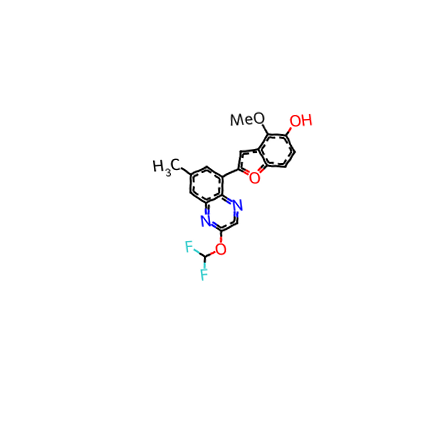 COc1c(O)ccc2oc(-c3cc(C)cc4nc(OC(F)F)cnc34)cc12